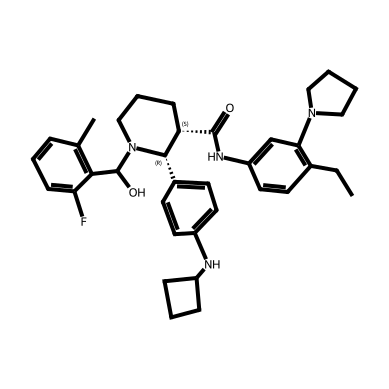 CCc1ccc(NC(=O)[C@H]2CCCN(C(O)c3c(C)cccc3F)[C@H]2c2ccc(NC3CCC3)cc2)cc1N1CCCC1